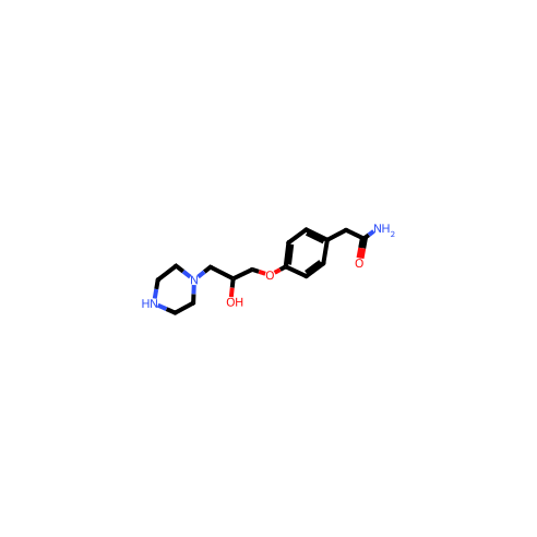 NC(=O)Cc1ccc(OCC(O)CN2CCNCC2)cc1